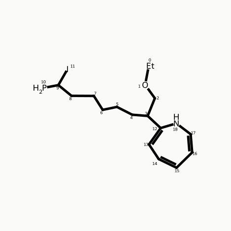 CCOCC(CCCCCC(P)I)C1=CC=CC=CN1